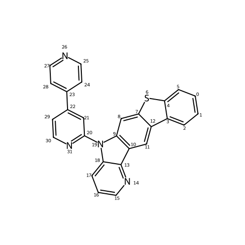 c1ccc2c(c1)sc1cc3c(cc12)c1ncccc1n3-c1cc(-c2ccncc2)ccn1